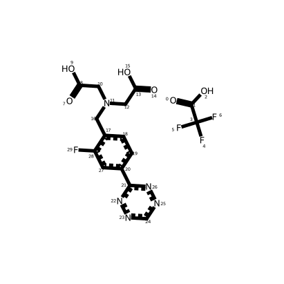 O=C(O)C(F)(F)F.O=C(O)CN(CC(=O)O)Cc1ccc(-c2nncnn2)cc1F